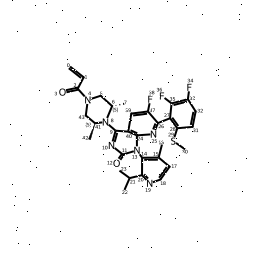 C=CC(=O)N1C[C@H](C)N(c2nc(=O)n(-c3c(C)ccnc3C(C)C)c3nc(-c4c(SC)ccc(F)c4F)c(F)cc23)[C@@H](C)C1